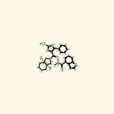 Cc1nc(C(=O)N2C[C@@H]3CCCC[C@@H]3[C@H]2CNC(=O)c2cccc3occc23)c(-c2ccccc2)s1